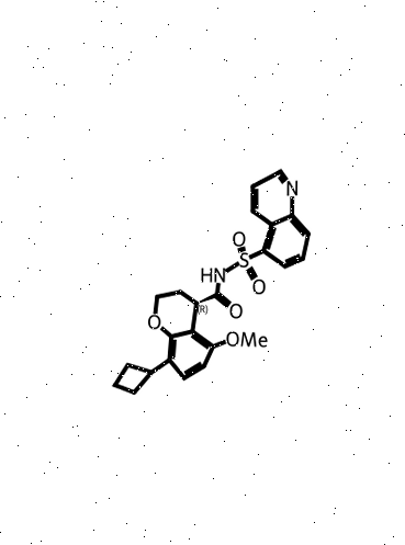 COc1ccc(C2CCC2)c2c1[C@H](C(=O)NS(=O)(=O)c1cccc3ncccc13)CCO2